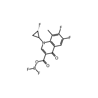 Cc1c(F)c(F)cc2c(=O)c(C(=O)OB(F)F)cn(C3C[C@@H]3F)c12